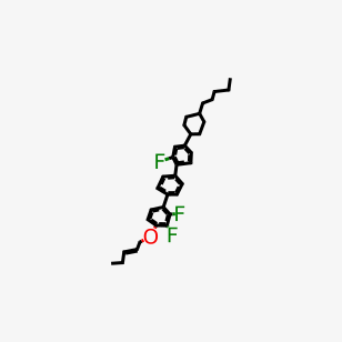 CC/C=C/COc1ccc(-c2ccc(-c3ccc(C4CCC(CCCCC)CC4)cc3F)cc2)c(F)c1F